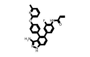 C=CC(=O)Nc1ccc(-c2ccc3[nH]nc(N)c3c2-c2ccc(Oc3cccc(C)n3)cc2)cc1F